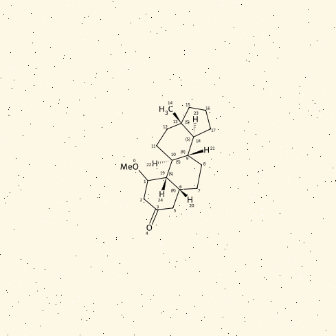 COC1CC(=O)C[C@H]2CC[C@@H]3[C@H](CC[C@]4(C)CCC[C@@H]34)[C@@H]12